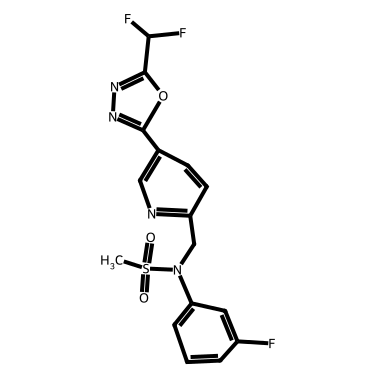 CS(=O)(=O)N(Cc1ccc(-c2nnc(C(F)F)o2)cn1)c1cccc(F)c1